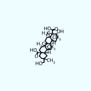 C[C@@]1(CO)CC[C@]2(C(=O)O)CC[C@]3(C)C(=CC[C@@H]4[C@@]5(C)CC[C@H](O)[C@@](C)(C(=O)O)[C@@H]5CC[C@]43C)[C@@H]2C1